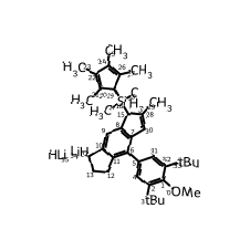 COc1c(C(C)(C)C)cc(-c2c3c(cc4c2CCC4)C([Si](C)(C)C2C(C)=C(C)C(C)=C2C)C(C)=C3)cc1C(C)(C)C.[LiH].[LiH]